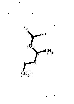 C[C@@H](CCC(=O)O)OC(F)F